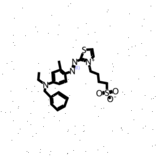 CCN(Cc1ccccc1)c1ccc(/N=N/c2scc[n+]2CCCCS(=O)(=O)[O-])c(C)c1